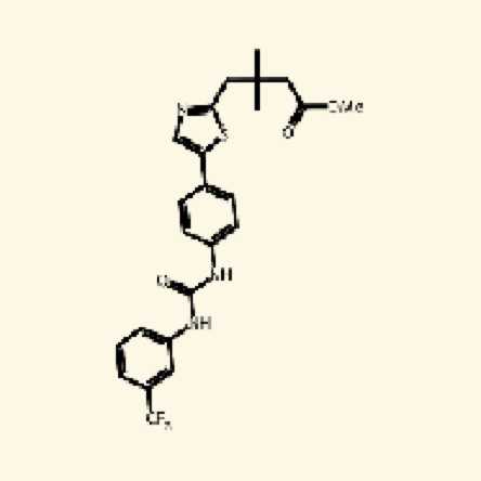 COC(=O)CC(C)(C)Cc1ncc(-c2ccc(NC(=O)Nc3cccc(C(F)(F)F)c3)cc2)s1